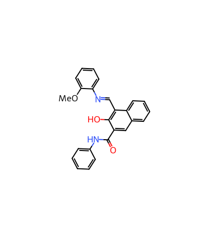 COc1ccccc1/N=C/c1c(O)c(C(=O)Nc2ccccc2)cc2ccccc12